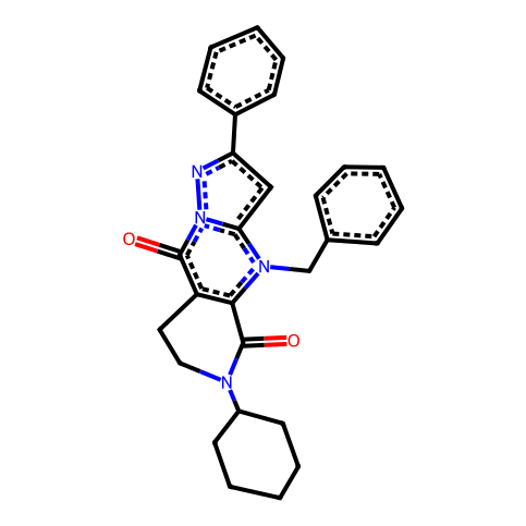 O=C1c2c(c(=O)n3nc(-c4ccccc4)cc3n2Cc2ccccc2)CCN1C1CCCCC1